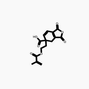 C=C(C)C(=O)OCCC1(C(=O)O)C=CC2=C(C1)C(=O)OC2=O